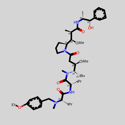 CCOc1ccc(CN(C)[C@H](C(=O)N[C@H](C(=O)N(C)[C@@H]([C@@H](C)CC)[C@@H](CC(=O)N2CCC[C@H]2[C@H](OC)[C@@H](C)C(=O)N[C@H](C)[C@@H](O)c2ccccc2)OC)C(C)C)C(C)C)cc1